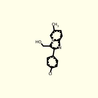 Cc1ccc2nc(-c3ccc(Cl)cc3)c(CO)n2c1